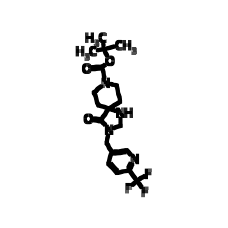 CC(C)(C)OC(=O)N1CCC2(CC1)NCN(Cc1ccc(C(F)(F)F)nc1)C2=O